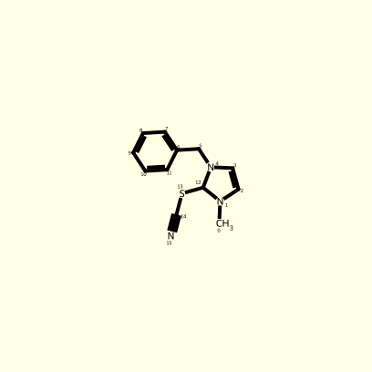 CN1C=CN(Cc2ccccc2)C1SC#N